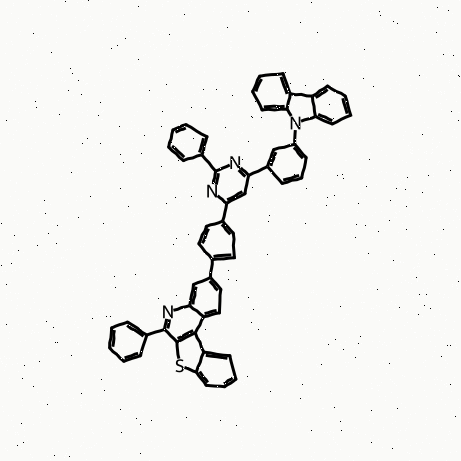 c1ccc(-c2nc(-c3ccc(-c4ccc5c(c4)nc(-c4ccccc4)c4sc6ccccc6c45)cc3)cc(-c3cccc(-n4c5ccccc5c5ccccc54)c3)n2)cc1